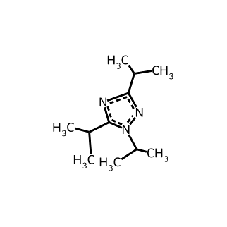 CC(C)c1nc(C(C)C)n(C(C)C)n1